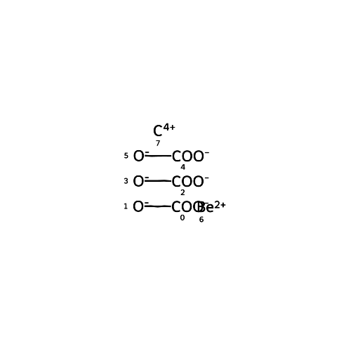 O=C([O-])[O-].O=C([O-])[O-].O=C([O-])[O-].[Be+2].[C+4]